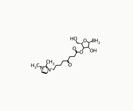 B[C@@H]1O[C@H](CO)C(OC(=O)CCC(=O)CCCC[n+]2ccn(C)c2C)[C@@H]1O